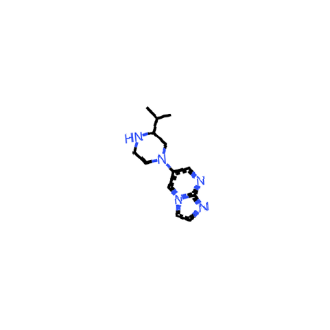 CC(C)C1CN(c2cnc3nccn3c2)CCN1